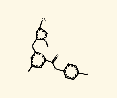 Cc1cc(Oc2cc(C(F)(F)F)nn2C)nc(C(=O)Nc2ccc(F)cc2)c1